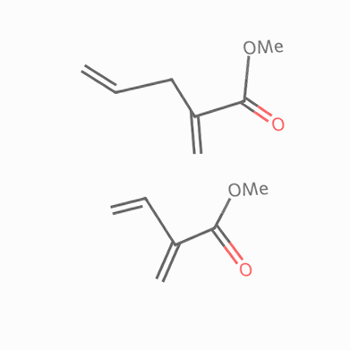 C=CC(=C)C(=O)OC.C=CCC(=C)C(=O)OC